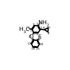 Cc1cc(N)c(C2CC2)cc1Oc1ccccc1F